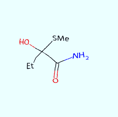 CCC(O)(SC)C(N)=O